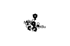 COc1cc2c3c(N4CC[C@H](OC(=O)OC(C)(C)C)C4)nccc3n(C(=O)OC(C)(C)C)c2cc1OCc1ccccc1